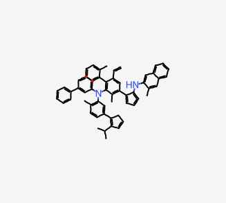 C=Cc1cc(C2=CC=C=C2Nc2cc3ccccc3cc2C)c(C)c(N(c2cccc(-c3ccccc3)c2)c2cc(C3=C(C(C)C)C=CC3)ccc2C)c1-c1ccccc1C